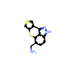 NCc1ccc2[nH]nc3c2c1Sc1cscc1-3